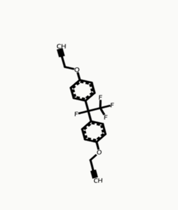 C#CCOc1ccc(C(F)(c2ccc(OCC#C)cc2)C(F)(F)F)cc1